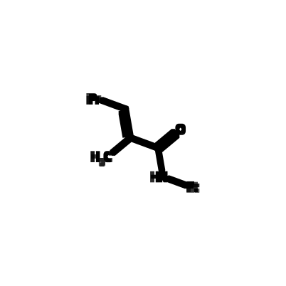 CCNC(=O)/C(C)=C/C(C)C